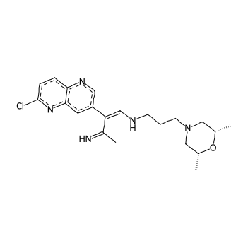 CC(=N)/C(=C\NCCCN1C[C@@H](C)O[C@@H](C)C1)c1cnc2ccc(Cl)nc2c1